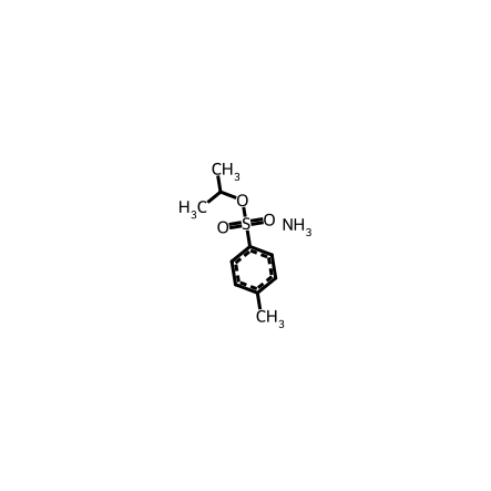 Cc1ccc(S(=O)(=O)OC(C)C)cc1.N